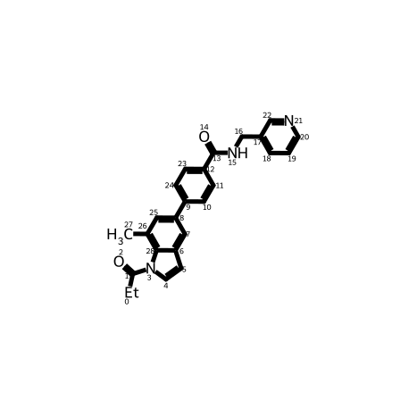 CCC(=O)n1ccc2cc(-c3ccc(C(=O)NCc4cccnc4)cc3)cc(C)c21